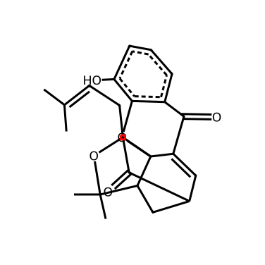 CC(C)=CCC12OC(C)(C)C3CC(C=C4C(=O)c5cccc(O)c5OC431)C2=O